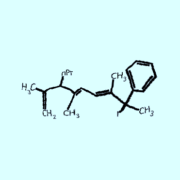 C=C(C)C(CCC)/C(C)=C/C=C(\C)C(C)(I)c1ccccc1